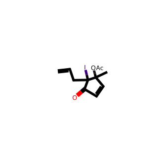 C=CCC1(I)C(=O)C=CC1(C)OC(C)=O